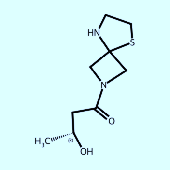 C[C@@H](O)CC(=O)N1CC2(C1)NCCS2